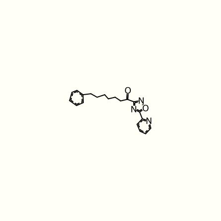 O=C(CCCCCCc1ccccc1)c1noc(-c2ccccn2)n1